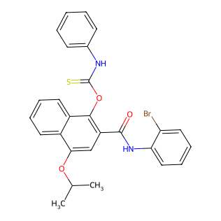 CC(C)Oc1cc(C(=O)Nc2ccccc2Br)c(OC(=S)Nc2ccccc2)c2ccccc12